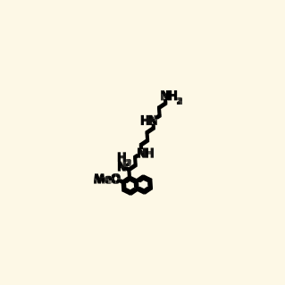 COc1ccc2ccccc2c1C(N)CCNCCCCNCCCN